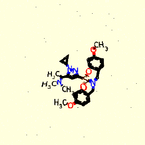 COc1ccc(CN(Cc2ccc(OC)cc2)S(=O)(=O)c2cc(C(C)N(C)C)n(C3CC3)n2)cc1